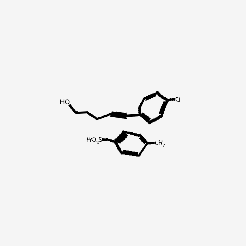 Cc1ccc(S(=O)(=O)O)cc1.OCCCC#Cc1ccc(Cl)cc1